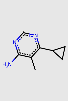 Cc1c(N)n[c]nc1C1CC1